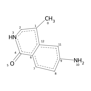 Cc1c[nH]c(=O)c2ccc(N)cc12